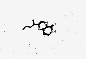 CCCC(C)c1cnc2c(=O)[nH]ccc2n1